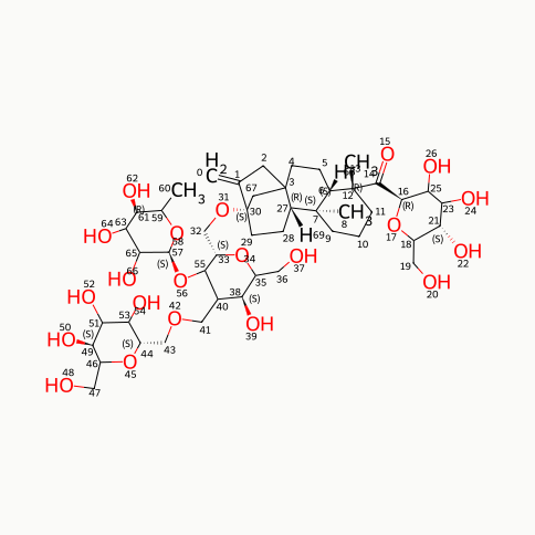 C=C1CC23CC[C@H]4[C@@](C)(CCC[C@@]4(C)C(=O)[C@@H]4OC(CO)[C@@H](O)C(O)C4O)[C@@H]2CC[C@]1(OC[C@@H]1OC(CO)[C@@H](O)C(COC[C@@H]2OC(CO)[C@@H](O)C(O)C2O)C1O[C@@H]1OC(C)[C@H](O)C(O)C1O)C3